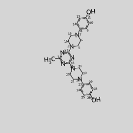 Cc1nc(N2CCN(c3ccc(O)cc3)CC2)nc(N2CCN(c3ccc(O)cc3)CC2)n1